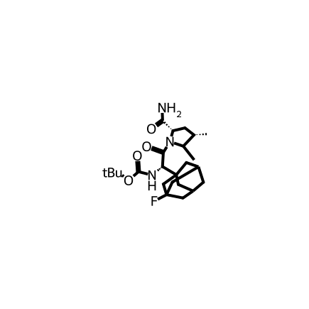 CC1[C@@H](C)C[C@@H](C(N)=O)N1C(=O)[C@@H](NC(=O)OC(C)(C)C)C12CC3CC(CC(F)(C3)C1)C2